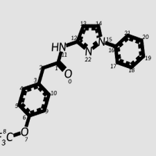 O=C(Cc1ccc(OC(F)(F)F)cc1)Nc1ccn(-c2ccccc2)n1